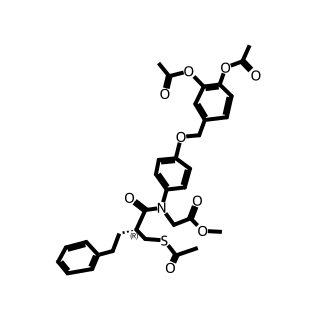 COC(=O)CN(C(=O)[C@@H](CCc1ccccc1)CSC(C)=O)c1ccc(OCc2ccc(OC(C)=O)c(OC(C)=O)c2)cc1